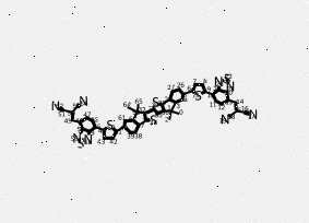 CC1(C)c2cc(-c3ccc(-c4ccc(C=C(C#N)C#N)c5nsnc45)s3)ccc2-c2sc3c4c(sc3c21)-c1ccc(-c2ccc(-c3ccc(C=C(C#N)C#N)c5nsnc35)s2)cc1C4(C)C